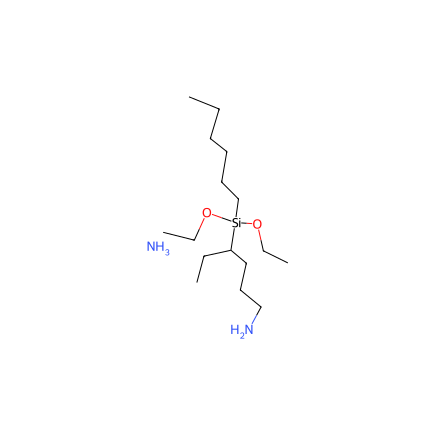 CCCCCC[Si](OCC)(OCC)C(CC)CCCN.N